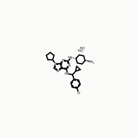 Cl.Cl.N[C@H]1CC[C@H](Nc2nc(NC(c3ccc(Cl)cc3)C3CC3)c3ncn(C4CCCC4)c3n2)CC1